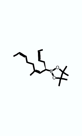 C/C=C\CC/C(C)=C\[C@@H](C/C=C\C)B1OC(C)(C)C(C)(C)O1